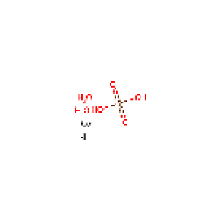 O.O.O=S(=O)(O)O.[Co].[Ni]